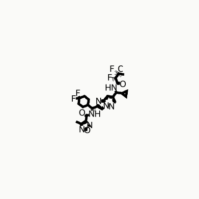 Cc1nonc1C(=O)N[C@H](c1cn2ncc(C(NC(=O)[C@H](F)[C@@H](C)C(F)(F)F)C3CC3)cc2n1)C1CCC(F)(F)CC1